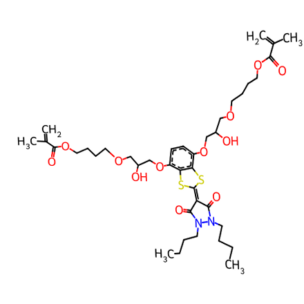 C=C(C)C(=O)OCCCCOCC(O)COc1ccc(OCC(O)COCCCCOC(=O)C(=C)C)c2c1SC(=C1C(=O)N(CCCC)N(CCCC)C1=O)S2